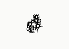 Cc1cc(C)cc(NC(=O)c2cccnc2SCc2ccnc(NC(=O)C(C)O)c2)c1